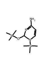 C[Si](C)(C)OC1N=C(N)C=CN1[Si](C)(C)C